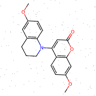 COc1ccc2c(c1)CCCN2c1cc(=O)oc2cc(OC)ccc12